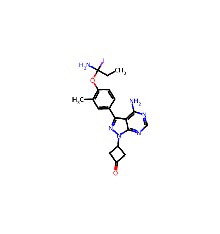 CCC(N)(I)Oc1ccc(-c2nn(C3CC(=O)C3)c3ncnc(N)c23)cc1C